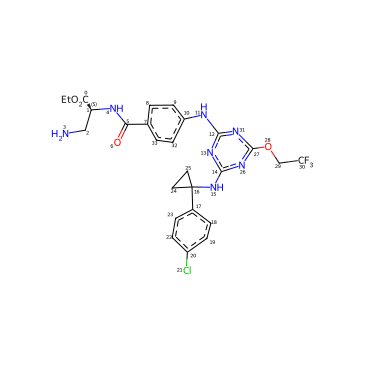 CCOC(=O)[C@H](CN)NC(=O)c1ccc(Nc2nc(NC3(c4ccc(Cl)cc4)CC3)nc(OCC(F)(F)F)n2)cc1